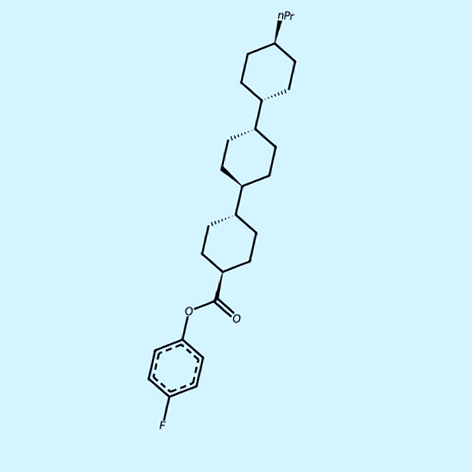 CCC[C@H]1CC[C@H]([C@H]2CC[C@H]([C@H]3CC[C@H](C(=O)Oc4ccc(F)cc4)CC3)CC2)CC1